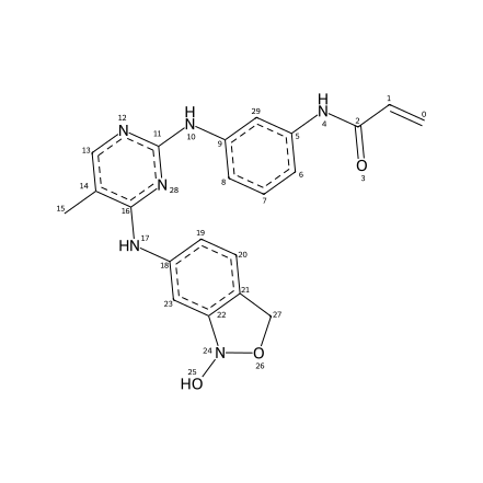 C=CC(=O)Nc1cccc(Nc2ncc(C)c(Nc3ccc4c(c3)N(O)OC4)n2)c1